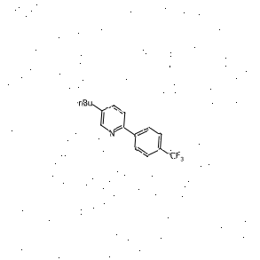 CCC[CH]c1ccc(-c2ccc(C(F)(F)F)cc2)nc1